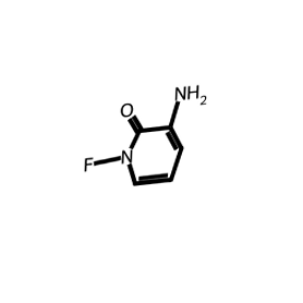 Nc1cccn(F)c1=O